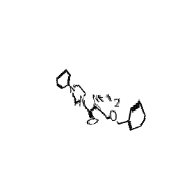 N[C@H](COCc1ccccc1)C(=O)N1CCN(c2ccccc2)CC1